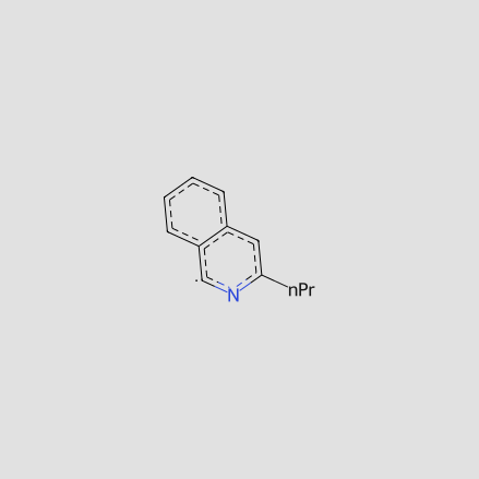 CCCc1cc2ccccc2[c]n1